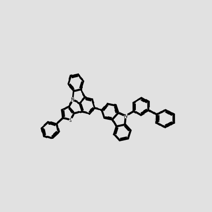 c1ccc(-c2cccc(-n3c4ccccc4c4cc(-c5cc6c7ccccc7n7c8cc(-c9ccccc9)sc8c(c5)c67)ccc43)c2)cc1